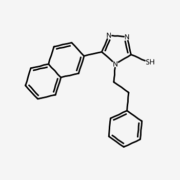 Sc1nnc(-c2ccc3ccccc3c2)n1CCc1ccccc1